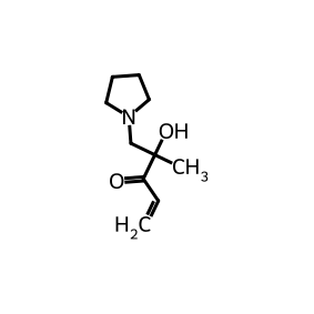 C=CC(=O)C(C)(O)CN1CCCC1